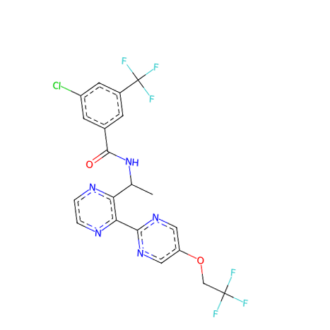 CC(NC(=O)c1cc(Cl)cc(C(F)(F)F)c1)c1nccnc1-c1ncc(OCC(F)(F)F)cn1